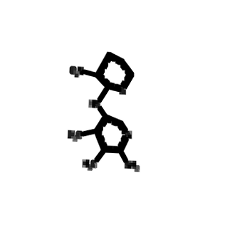 Cc1c(Nc2ncccc2[N+](=O)[O-])cnc(N)c1C